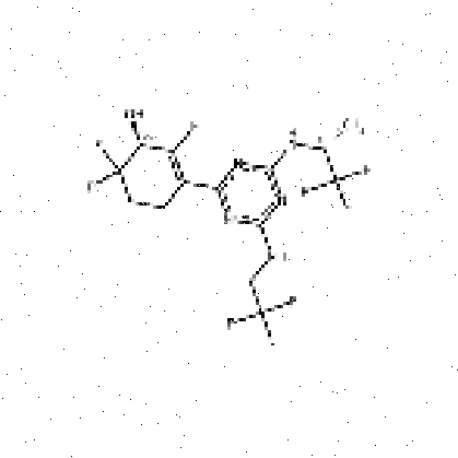 C[C@@H](Nc1nc(NCC(F)(F)F)nc(C2=C(F)[C@H](O)C(F)(F)CC2)n1)C(F)(F)F